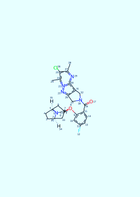 CCCN1[C@@H]2CC[C@H]1C[C@@H](Oc1cc(F)ccc1C(=O)N1Cc3nn4c(C)c(Cl)c(C)nc4c3C1)C2